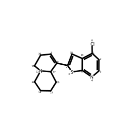 Clc1ccnc2sc(C3=CCCN4CCCCC34)cc12